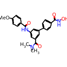 COc1ccc(C(=O)Nc2cc(C(=O)N(C)C)cc(-c3ccc(C(=O)NO)cc3)c2)cc1